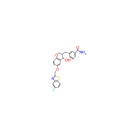 NC(=O)c1cccc(CC2COc3ccc(OCc4nc5cc(F)ccc5s4)cc3C2O)c1